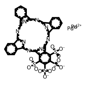 O=S(=O)([O-])c1c(S(=O)(=O)[O-])c(S(=O)(=O)[O-])c2c3nc4nc(nc5[nH]c(nc6nc(nc([nH]3)c2c1S(=O)(=O)[O-])-c1ccccc1-6)c1ccccc51)-c1ccccc1-4.[Pd+2].[Pd+2]